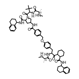 CN[C@@H](C)C(=O)NC(Cc1ccc(OCc2ccc(C(=O)NC3CC(C(=O)NC4CCCc5ccccc54)N(C(=O)C(NC(=O)[C@H](C)NC)C(C)(C)C)C3)cc2)cc1)C(=O)C1CCCCC1C(=O)NC1CCCc2ccccc21